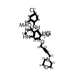 COC1(Nc2ccc(Cl)cc2F)N=CNc2cc(OCC#CCN3CCOCC3)ccc21.Cl.O